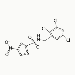 O=[N+]([O-])c1csc(S(=O)(=O)NCc2cc(Cl)cc(Cl)c2Cl)c1